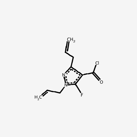 C=CCc1nn(CC=C)c(F)c1C(=O)Cl